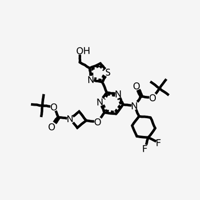 CC(C)(C)OC(=O)N1CC(Oc2cc(N(C(=O)OC(C)(C)C)C3CCC(F)(F)CC3)nc(-c3nc(CO)cs3)n2)C1